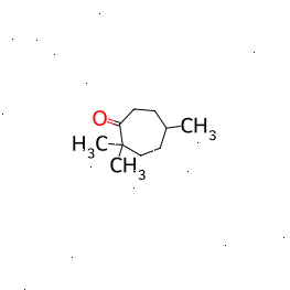 CC1CCC(=O)C(C)(C)CC1